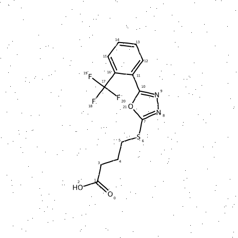 O=C(O)CCCSc1nnc(-c2ccccc2C(F)(F)F)o1